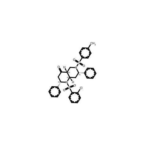 Cc1ccc(S(=O)(=O)N2C[C@H]3C(=O)C[C@@H](c4ccccc4)N(S(=O)(=O)c4ccccc4Cl)[C@H]3C[C@H]2c2ccccc2)cc1